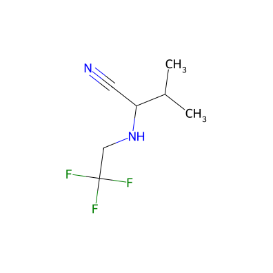 CC(C)C(C#N)NCC(F)(F)F